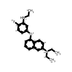 CCNc1cc(Oc2cccc3cc(N(CC)CC)ccc23)ccc1F